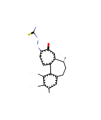 COc1cc2c(c(OC)c1OC)-c1ccc(NNC(N)=S)c(=O)cc1[C@@H](NC(C)=O)CC2.O